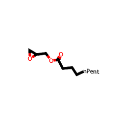 CCCCCCCCC(=O)OCC1CO1